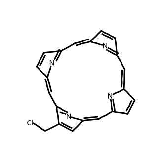 ClCC1=CC2=CC3=NC(=CC4=NC(=CC5=NC(=CC1=N2)C=C5)C=C4)C=C3